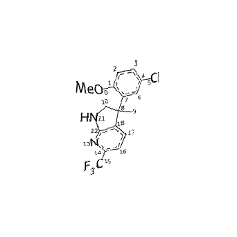 COc1ccc(Cl)cc1C1(C)CNc2nc(C(F)(F)F)ccc21